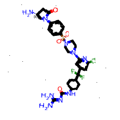 NC(N)=NC(=O)NC1CCC(C(F)(F)c2cc(Cl)nc(N3CCN(S(=O)(=O)c4ccc(N5C[C@H](N)CC5=O)cc4)CC3)c2)CC1